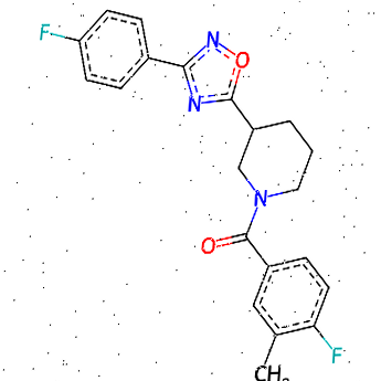 Cc1cc(C(=O)N2CCCC(c3nc(-c4ccc(F)cc4)no3)C2)ccc1F